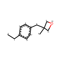 CCc1ccc(CC2(C)COC2)cc1